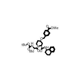 COC(=O)c1ccc(CO[C@@H]2CCN(C(=O)[C@@H](NC(=O)OC(C)(C)C)C(C)(C)C)[C@H](C(=O)N[C@@H]3CCCc4ccccc43)C2)cc1